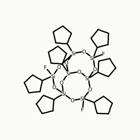 F[Si]1(C2CCCC2)O[Si]2(C3CCCC3)O[Si](F)(C3CCCC3)O[Si]3(C4CCCC4)O[Si](F)(C4CCCC4)O[Si](C4CCCC4)(O1)O[Si](C1CCCC1)(O2)O3